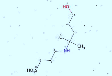 CC(C)(CCCO)NCCCS(=O)(=O)O